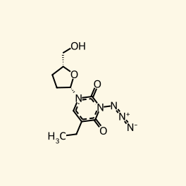 CCc1cn([C@@H]2CC[C@H](CO)O2)c(=O)n(N=[N+]=[N-])c1=O